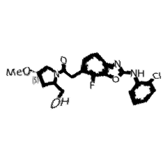 CO[C@H]1CC(CO)N(C(=O)Cc2ccc3nc(Nc4ccccc4Cl)oc3c2F)C1